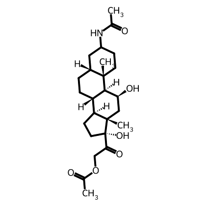 CC(=O)NC1CC[C@@]2(C)[C@H](CC[C@@H]3[C@@H]2[C@@H](O)C[C@@]2(C)[C@H]3CC[C@]2(O)C(=O)COC(C)=O)C1